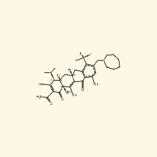 CN(C)[C@@H]1C(O)=C(C(N)=O)C(=O)[C@@]2(O)C(O)=C3C(=O)c4c(O)cc(CN5CCCCCC5)c(C(F)(F)F)c4C[C@H]3C[C@@H]12